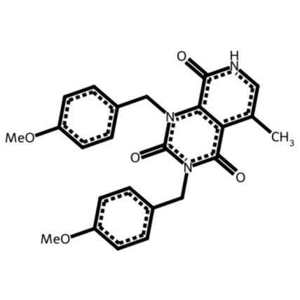 COc1ccc(Cn2c(=O)c3c(C)c[nH]c(=O)c3n(Cc3ccc(OC)cc3)c2=O)cc1